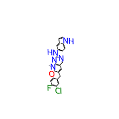 Cn1c(=O)c(Cc2ccc(F)c(Cl)c2)cc2cnc(Nc3ccc4[nH]ccc4c3)nc21